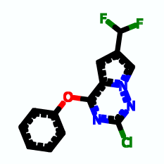 FC(F)c1cc2c(Oc3ccccc3)nc(Cl)nn2c1